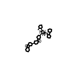 Cc1ccccc1-c1nc(-c2ccc3c(c2)oc2ccc(-c4ccc5oc6ccccc6c5c4)cc23)nc(-n2c3ccccc3c3ccccc32)n1